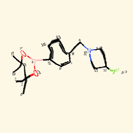 CC1(C)OB(c2ccc(CN3CC(F)C3)cc2)OC1(C)C